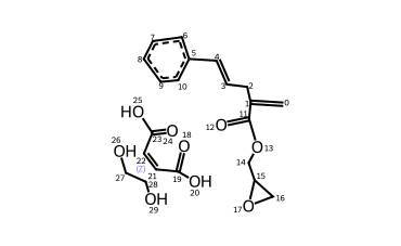 C=C(CC=Cc1ccccc1)C(=O)OCC1CO1.O=C(O)/C=C\C(=O)O.OCCO